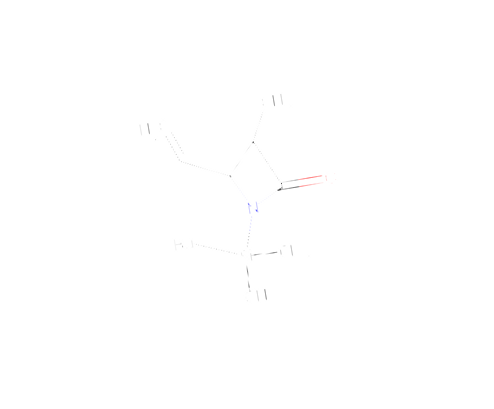 C=CC1C(C)C(=O)N1[Si](C)(C)C(C)(C)C